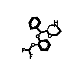 FC(F)Oc1ccccc1O[C@@H](c1ccccc1)[C@@H]1CNCCO1